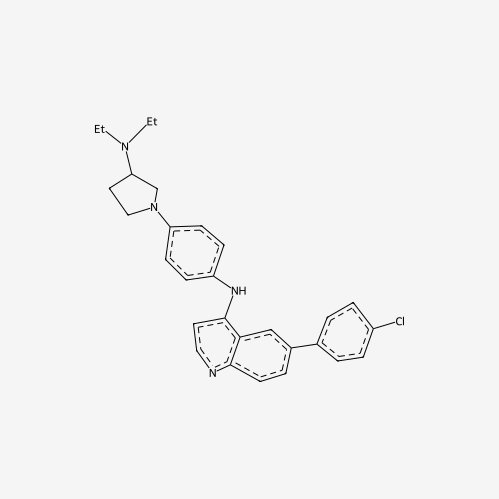 CCN(CC)C1CCN(c2ccc(Nc3ccnc4ccc(-c5ccc(Cl)cc5)cc34)cc2)C1